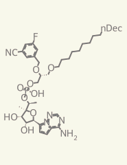 CCCCCCCCCCCCCCCCCCCOC[C@H](COP(=O)(O)O[C@@H](C)[C@@]1(C)O[C@@H](c2ccc3c(N)ncnn23)[C@H](O)[C@@H]1O)OCc1cc(F)cc(C#N)c1